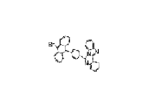 Brc1c2ccccc2c(-c2ccc(-c3nc4ccccc4c4nc5ccccc5n34)cc2)c2ccccc12